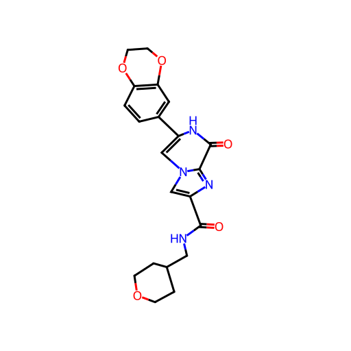 O=C(NCC1CCOCC1)c1cn2cc(-c3ccc4c(c3)OCCO4)[nH]c(=O)c2n1